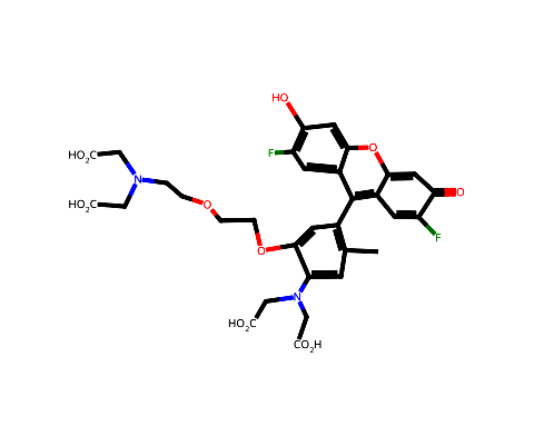 Cc1cc(N(CC(=O)O)CC(=O)O)c(OCCOCCN(CC(=O)O)CC(=O)O)cc1-c1c2cc(F)c(=O)cc-2oc2cc(O)c(F)cc12